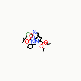 CCOC(OCC)c1cc2cnc(Cl)nc2n1CC1(NC(=O)OC(C)(C)C)CCCC1